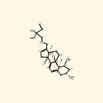 CCC(O)(CC)COCC1=CC[C@H]2C3=CC=C4C[C@@H](O)C[C@H](O)[C@]4(C)[C@H]3CC[C@]12C